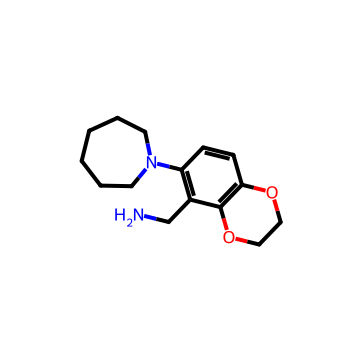 NCc1c(N2CCCCCC2)ccc2c1OCCO2